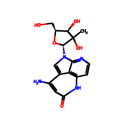 CC1(O)[C@H](O)[C@@H](CO)O[C@H]1n1cc2c3c(ccnc31)NC(=O)C=C2N